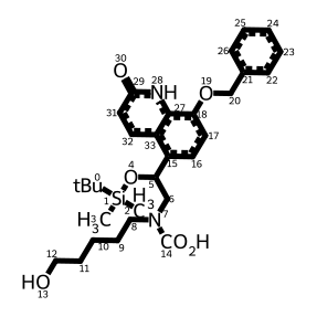 CC(C)(C)[Si](C)(C)OC(CN(CCCCCO)C(=O)O)c1ccc(OCc2ccccc2)c2[nH]c(=O)ccc12